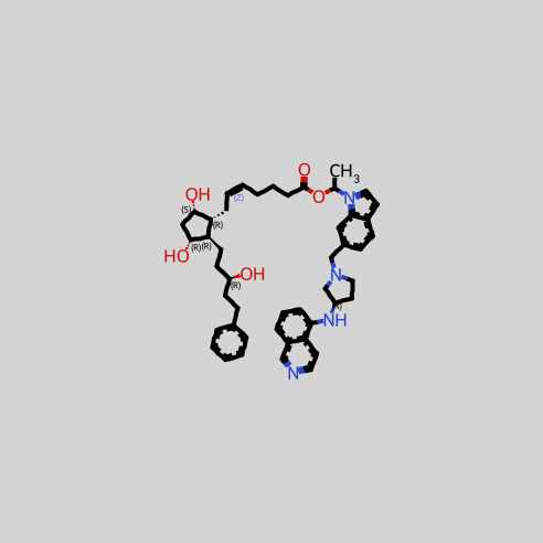 CC(OC(=O)CCC/C=C\C[C@@H]1[C@@H](CC[C@@H](O)CCc2ccccc2)[C@H](O)C[C@@H]1O)n1ccc2ccc(CN3CC[C@@H](Nc4cccc5cnccc45)C3)cc21